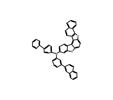 c1ccc(-c2ccc(N(c3cccc(-c4ccc5ccccc5c4)c3)c3ccc4c(c3)sc3ccc5oc6c7ccccc7ccc6c5c34)cc2)cc1